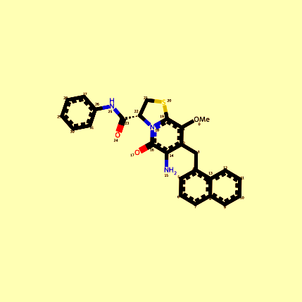 COc1c(Cc2cccc3ccccc23)c(N)c(=O)n2c1SC[C@H]2C(=O)Nc1ccccc1